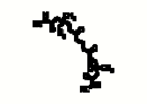 CC(C)(CCC(=O)CCCC(=O)CCC(C)(C)CC(=O)NC#N)CC(=O)NC#N